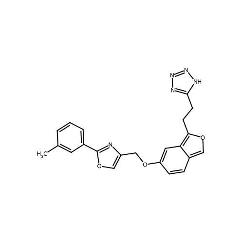 Cc1cccc(-c2nc(COc3ccc4coc(CCc5nnn[nH]5)c4c3)co2)c1